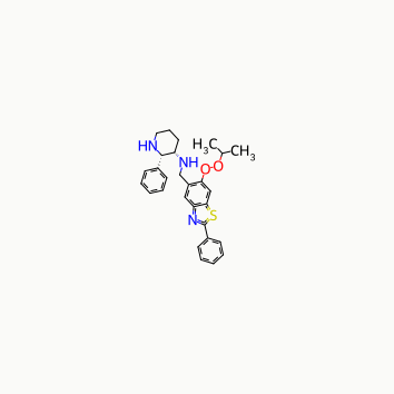 CC(C)OOc1cc2sc(-c3ccccc3)nc2cc1CN[C@H]1CCCN[C@H]1c1ccccc1